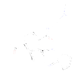 CN(C)CCNC(=O)c1ccc(C(=O)O)c2ccc3nc4ccccc4nc3c12